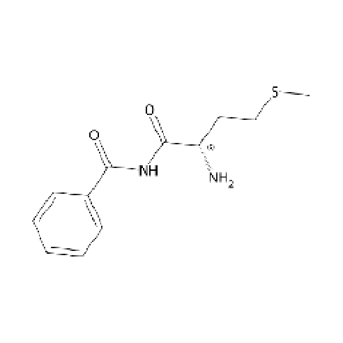 CSCC[C@H](N)C(=O)NC(=O)c1ccccc1